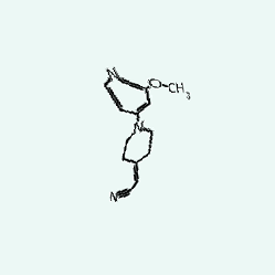 COc1cc(N2CCC(=CC#N)CC2)ccn1